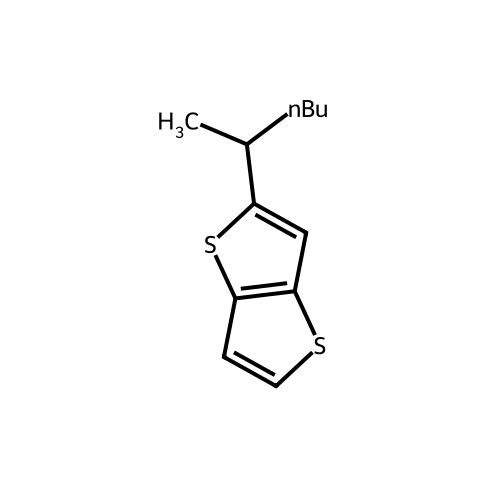 CCCCC(C)c1cc2sccc2s1